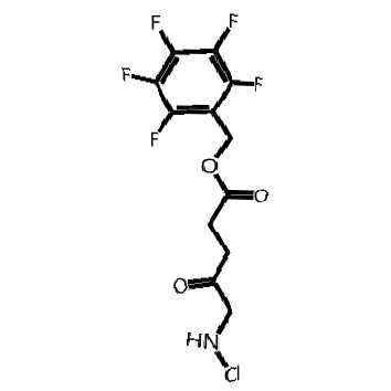 O=C(CCC(=O)OCc1c(F)c(F)c(F)c(F)c1F)CNCl